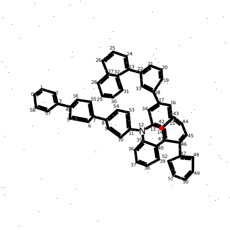 c1ccc(-c2ccc(-c3ccc(N(c4cccc(-c5cccc(-c6cccc7ccccc67)c5)c4)c4ccccc4-c4ccccc4-c4ccccc4)cc3)cc2)cc1